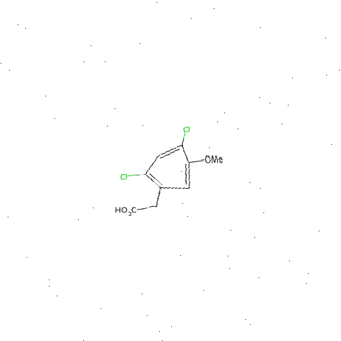 COc1cc(CC(=O)O)c(Cl)cc1Cl